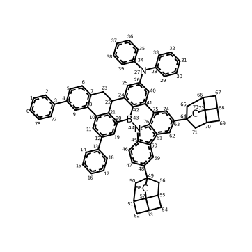 c1ccc(-c2ccc3c(c2)-c2cc(-c4ccccc4)cc4c2C(C3)c2cc(N(c3ccccc3)c3ccccc3)cc3c2B4n2c4ccc(C56CC7CC8CC(C5)C87C6)cc4c4cc(C56CC7CC8CC(C5)C87C6)cc-3c42)cc1